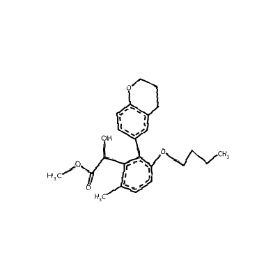 CCCCOc1ccc(C)c(C(O)C(=O)OC)c1-c1ccc2c(c1)CCCO2